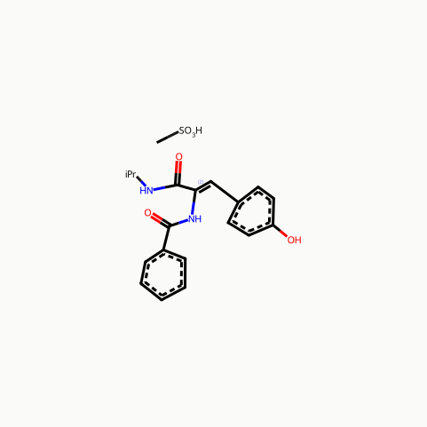 CC(C)NC(=O)/C(=C/c1ccc(O)cc1)NC(=O)c1ccccc1.CS(=O)(=O)O